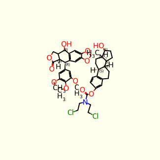 COc1cc([C@@H]2c3cc4c(cc3[C@H](O)C3COC(=O)[C@H]32)OCO4)cc(OC)c1OC.C[C@]12CC[C@@H]3c4ccc(OC(=O)N(CCCl)CCCl)cc4CC[C@H]3[C@@H]1CC[C@@H]2O